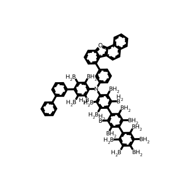 Bc1c(B)c(B)c(-c2c(B)c(B)c(-c3c(B)c(B)c(N(c4cccc(-c5cccc6oc7c8ccccc8ccc7c56)c4)c4c(B)c(B)c(-c5cccc(-c6ccccc6)c5)c(B)c4B)c(B)c3B)c(B)c2B)c(B)c1B